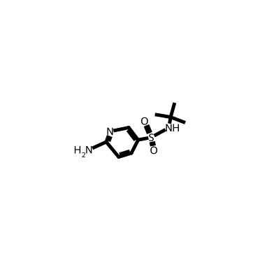 CC(C)(C)NS(=O)(=O)c1ccc(N)nc1